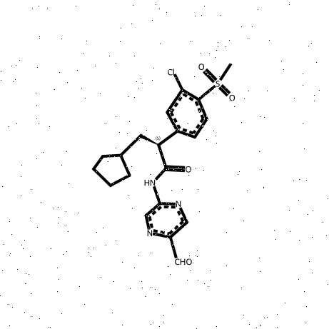 CS(=O)(=O)c1ccc([C@H](CC2CCCC2)C(=O)Nc2cnc(C=O)cn2)cc1Cl